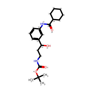 CC(C)(C)OC(=O)NCCC(O)c1cccc(NC(=O)C2CCCCC2)c1